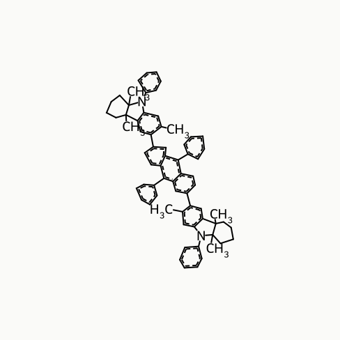 Cc1cc2c(cc1-c1ccc3c(-c4ccccc4)c4cc(-c5cc6c(cc5C)N(c5ccccc5)C5(C)CCCCC65C)ccc4c(-c4ccccc4)c3c1)C1(C)CCCCC1(C)N2c1ccccc1